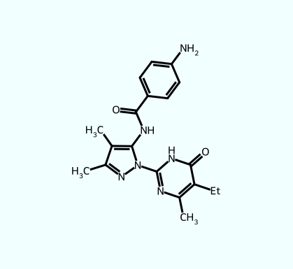 CCc1c(C)nc(-n2nc(C)c(C)c2NC(=O)c2ccc(N)cc2)[nH]c1=O